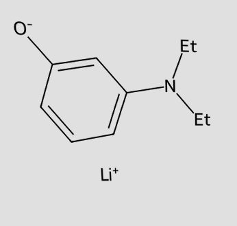 CCN(CC)c1cccc([O-])c1.[Li+]